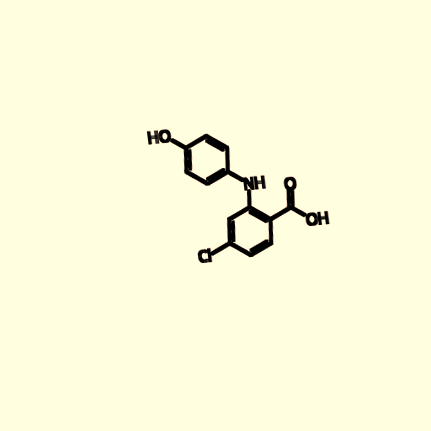 O=C(O)c1ccc(Cl)cc1Nc1ccc(O)cc1